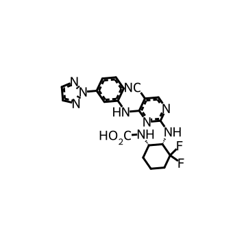 N#Cc1cnc(N[C@H]2[C@@H](NC(=O)O)CCCC2(F)F)nc1Nc1cccc(-n2nccn2)c1